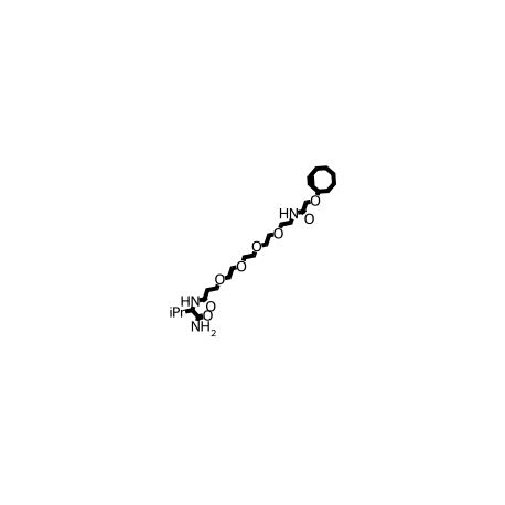 CC(C)C(NC(=O)CCOCCOCCOCCOCCNC(=O)COC1C#CCCCCC1)C(N)=O